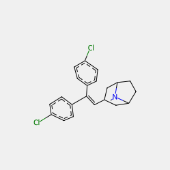 CN1C2CCC1CC(C=C(c1ccc(Cl)cc1)c1ccc(Cl)cc1)C2